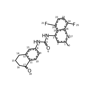 Cc1cc(NC(=O)Nc2ccc3c(c2)CCCC3=O)c2c(F)ccc(F)c2n1